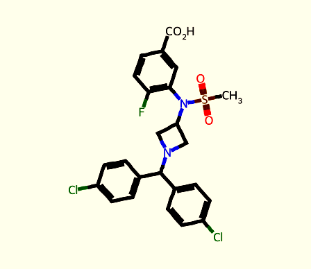 CS(=O)(=O)N(c1cc(C(=O)O)ccc1F)C1CN(C(c2ccc(Cl)cc2)c2ccc(Cl)cc2)C1